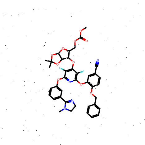 COC(=O)OCC1OC2OC(C)(C)OC2C1Oc1c(F)c(Oc2cccc(C3=NCCN3C)c2)nc(Oc2cc(C#N)ccc2OCc2ccccc2)c1F